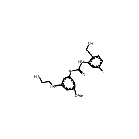 COc1cc(NCCN)cc(NC(=O)Nc2cc(F)ccc2CO)c1